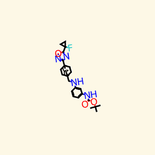 CC(C)(C)OC(=O)Nc1cccc(NCC23CCC(c4noc(C5(F)CC5)n4)(CC2)CC3)c1